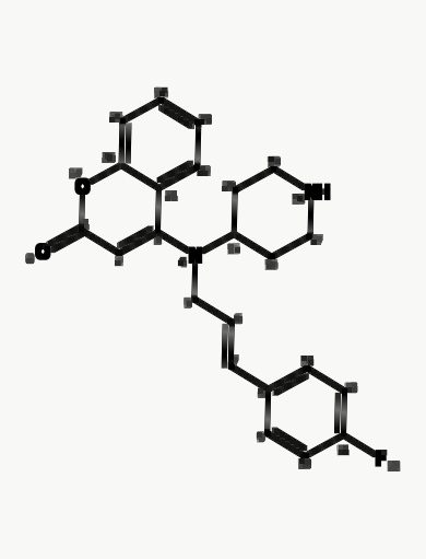 O=c1cc(N(CC=Cc2ccc(F)cc2)C2CCNCC2)c2ccccc2o1